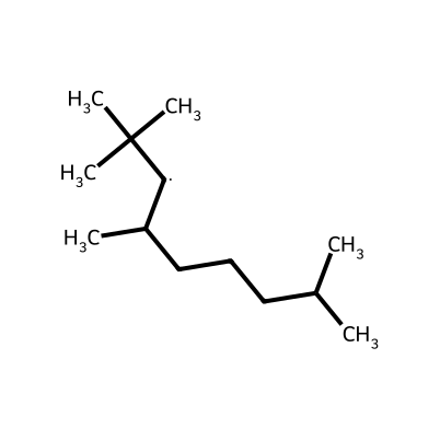 CC(C)CCCC(C)[CH]C(C)(C)C